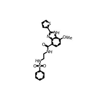 COc1ccc(C(=O)NCCNS(=O)(=O)c2ccccc2)c2nc(-c3cccs3)[nH]c12